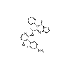 CC(Nc1ncnc(N)c1-c1ccc(N)nc1)c1nc2cccn2c(=O)n1-c1ccccc1